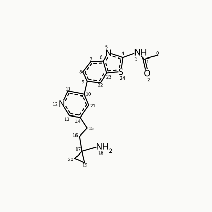 CC(=O)Nc1nc2ccc(-c3cncc(CCC4(N)CC4)c3)cc2s1